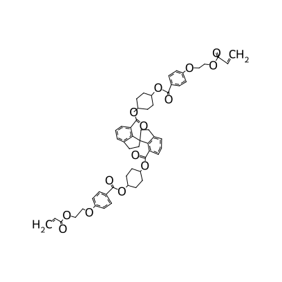 C=CC(=O)OCCOc1ccc(C(=O)OC2CCC(OC(=O)c3cccc4c3C3(CC4)CCc4cccc(C(=O)OC5CCC(OC(=O)c6ccc(OCCOC(=O)C=C)cc6)CC5)c43)CC2)cc1